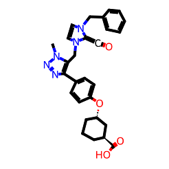 Cn1nnc(-c2ccc(O[C@H]3CCC[C@H](C(=O)O)C3)cc2)c1CN1C=CN(Cc2ccccc2)C1=C=O